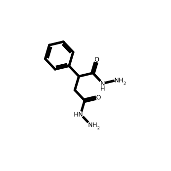 NNC(=O)CC(C(=O)NN)c1ccccc1